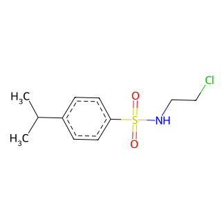 CC(C)c1ccc(S(=O)(=O)NCCCl)cc1